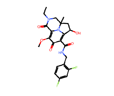 CCN1CC2(C)CC(O)c3c(C(=O)NCc4ccc(F)cc4F)c(=O)c(OC)c(n32)C1=O